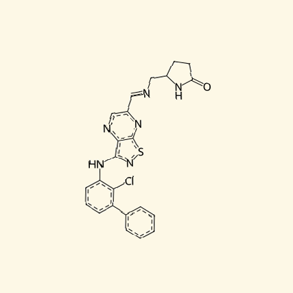 O=C1CCC(CN=Cc2cnc3c(Nc4cccc(-c5ccccc5)c4Cl)nsc3n2)N1